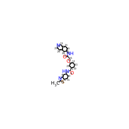 Cc1nc2cc(NC(=O)c3cccc(OCC(=O)Nc4ccc5cnccc5c4)c3)ccc2s1